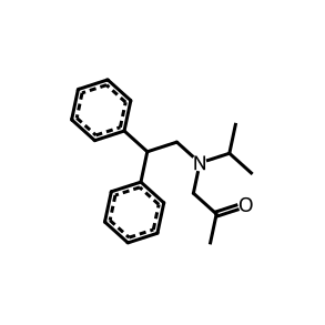 CC(=O)CN(CC(c1ccccc1)c1ccccc1)C(C)C